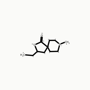 CCC1CC2(CCN(C)CC2)C(=O)O1